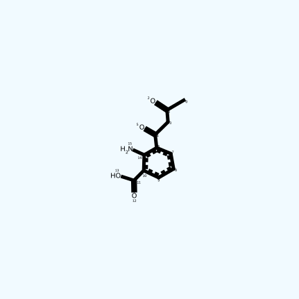 CC(=O)CC(=O)c1cccc(C(=O)O)c1N